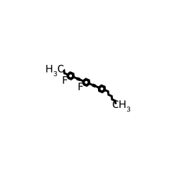 CCCCCCc1ccc(C#Cc2ccc(C#Cc3ccc(CCC)c(F)c3)c(F)c2)cc1